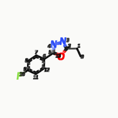 CCc1nnc(-c2ccc(F)cc2)o1